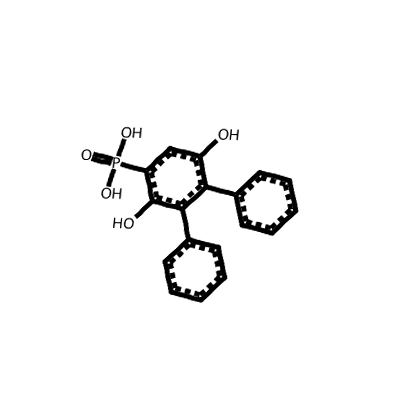 O=P(O)(O)c1cc(O)c(-c2ccccc2)c(-c2ccccc2)c1O